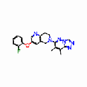 Cc1c(N2CCc3ncc(Oc4ccccc4F)cc3C2)nn2cnnc2c1C